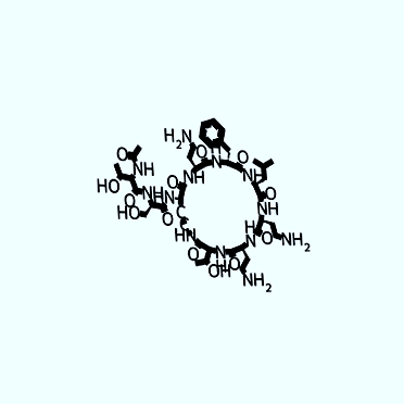 CC(=O)NC(C(=O)N[C@H](CO)C(=O)N[C@H]1CCNC(=O)C(C(C)O)NC(=O)[C@H](CCN)NC(=O)[C@H](CCN)NC(=O)[C@H](CC(C)C)NC(=O)[C@@H](Cc2ccccc2)NC(=O)[C@H](CCN)NC1=O)C(C)O